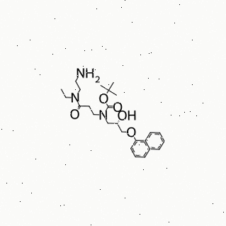 CCN(CCN)C(=O)CCN(C[C@H](O)COc1cccc2ccccc12)C(=O)OC(C)(C)C